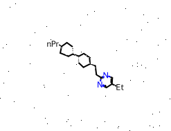 CCC[C@H]1CC[C@H]([C@H]2CC[C@H](CCc3ncc(CC)cn3)CC2)CC1